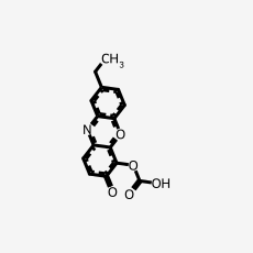 CCc1ccc2oc3c(OC(=O)O)c(=O)ccc-3nc2c1